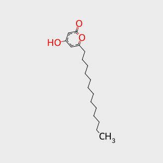 CCCCCCCCCCCCCc1cc(O)cc(=O)o1